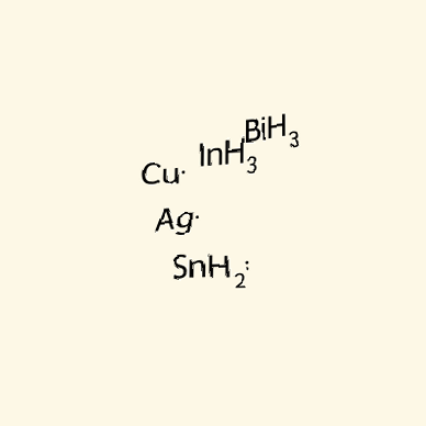 [Ag].[BiH3].[Cu].[InH3].[SnH2]